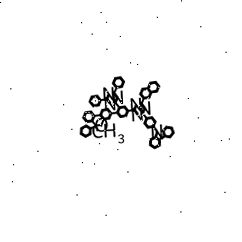 CC1(c2ccccc2)Oc2cc(-c3ccc(-c4nc(-c5ccc(-n6c7ccccc7c7ccccc76)cc5)nc(-c5ccc6ccccc6c5)n4)cc3-c3nc(-c4ccccc4)nc(-c4ccccc4)n3)ccc2-c2ccccc21